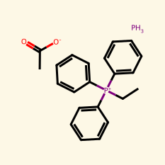 CC(=O)[O-].CC[P+](c1ccccc1)(c1ccccc1)c1ccccc1.P